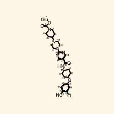 CC(C)(C)OC(=O)N1CCC(N2CCN(c3ncc(C(=O)N[C@H]4CC[C@H](Oc5ccc(C#N)c(Cl)c5)CC4)cn3)CC2)CC1